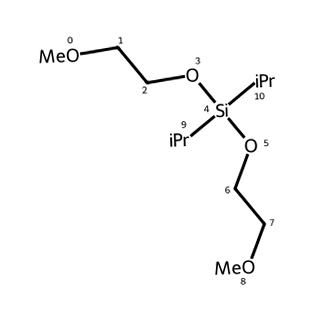 COCCO[Si](OCCOC)(C(C)C)C(C)C